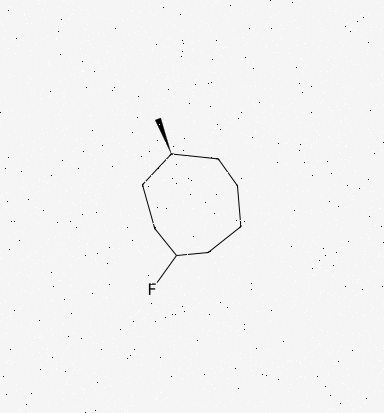 C[C@H]1CCCCC(F)CC1